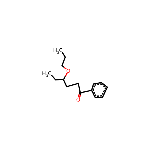 CCCOC(CC)CCC(=O)c1ccccc1